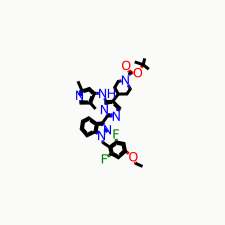 CCOc1cc(F)c(Cn2nc(-c3ncc(C4CCN(C(=O)OC(C)(C)C)CC4)c(Nc4cc(C)ncc4C)n3)c3ccccc32)c(F)c1